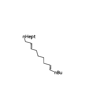 CCCCC=CCCCCC=CCCCCCCCC